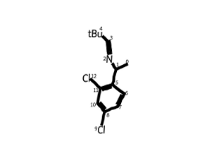 CC(N=CC(C)(C)C)c1ccc(Cl)cc1Cl